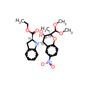 CCOC(=O)[C@@H]1Cc2ccccc2N1[C@H]1c2cc([N+](=O)[O-])ccc2O[C@](C)(C(OC)OC)[C@@H]1O